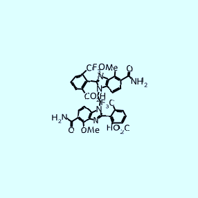 COc1c(C(N)=O)ccc2c1nc(-c1c(C(=O)O)cccc1C(F)(F)F)n2CCn1c(-c2c(C(=O)O)cccc2C(F)(F)F)nc2c(OC)c(C(N)=O)ccc21